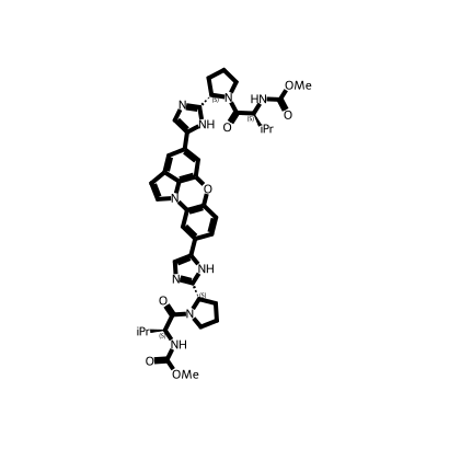 COC(=O)N[C@H](C(=O)N1CCC[C@H]1c1ncc(-c2ccc3c(c2)-n2ccc4cc(-c5cnc([C@@H]6CCCN6C(=O)[C@@H](NC(=O)OC)C(C)C)[nH]5)cc(c42)O3)[nH]1)C(C)C